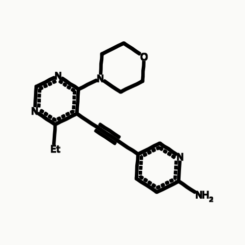 CCc1ncnc(N2CCOCC2)c1C#Cc1ccc(N)nc1